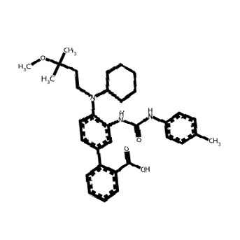 COC(C)(C)CCN(c1ccc(-c2ccccc2C(=O)O)cc1NC(=O)Nc1ccc(C)cc1)C1CCCCC1